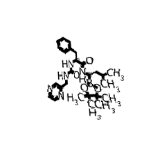 CC(C)C[C@H](NC(=O)[C@H](Cc1ccccc1)NC(=O)NCc1cnccn1)B1OC(C)(C)C(C)(C)O1